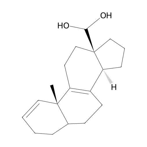 C[C@]12C=CCCC1CCC1=C2CC[C@]2(C(O)O)CCC[C@@H]12